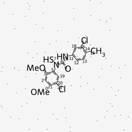 COc1cc(OC)c(N(S)C(=O)Nc2ccc(C)c(Cl)c2)cc1Cl